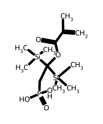 C=C(C)C(=O)OC(CP(=O)(O)O)([Si](C)(C)C)[Si](C)(C)C